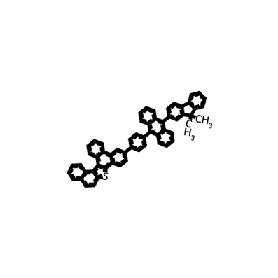 CC1(C)c2ccccc2-c2ccc(-c3c4ccccc4c(-c4ccc(-c5ccc6c(c5)c5ccccc5c5c6sc6ccc7ccccc7c65)cc4)c4ccccc34)cc21